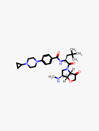 CN[C@H]1CN(C(=O)[C@H](CC(C)(C)C)NC(=O)c2ccc(N3CCN(C4CC4)CC3)cc2)[C@@H]2C(=O)CO[C@H]12